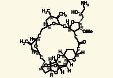 C=C1C2C[C@@H]3O[C@H](C[C@H](O)CN)[C@H](OC)C3CC(=O)C[C@H]3CC[C@@H]4O[C@@H]5[C@H]6O[C@H]7C[C@](CC[C@H]8CC(=C)[C@H](CC[C@@H](C[C@H]1C)O2)O8)(O[C@H]6[C@H]4O3)O[C@H]57